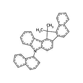 CC1(C)c2c(ccc3ccccc23)-c2ccc3c(c21)c1ccccc1n3-c1cccc2ccccc12